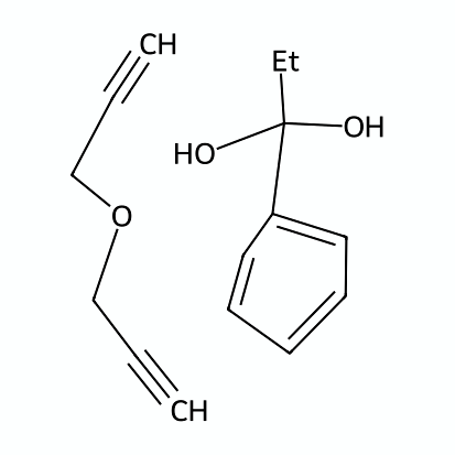 C#CCOCC#C.CCC(O)(O)c1ccccc1